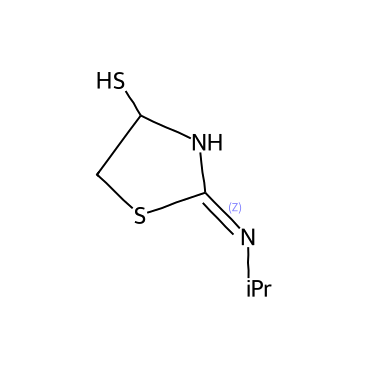 CC(C)/N=C1/NC(S)CS1